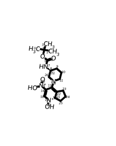 CC(C)(C)OC(=O)N[C@H]1CCCN(c2c([N+](=O)O)c[n+](O)c3c2CCC3)C1